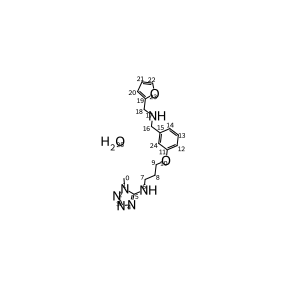 Cn1nnnc1NCCCOc1cccc(CNCc2ccco2)c1.O